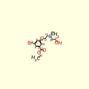 CCOC(=O)c1cc(Br)cc(OCCN(C)CCO)c1